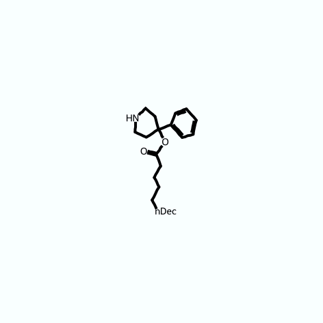 CCCCCCCCCCCCCCC(=O)OC1(c2ccccc2)CCNCC1